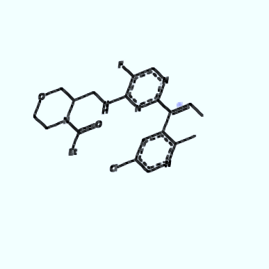 C/C=C(/c1ncc(F)c(NCC2COCCN2C(=O)CC)n1)c1cc(Cl)cnc1C